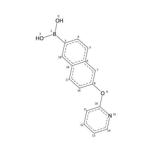 OB(O)c1ccc2cc(Oc3ccccn3)ccc2c1